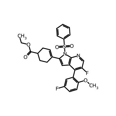 CCOC(=O)C1CC=C(c2cc3c(-c4cc(F)ccc4OC)c(F)cnc3n2S(=O)(=O)c2ccccc2)CC1